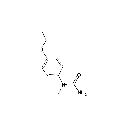 CCOc1ccc(N(C)C(N)=O)cc1